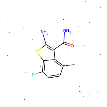 Cc1ccc(F)c2sc(N)c(C(N)=O)c12